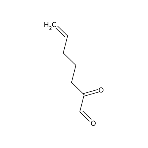 C=CCCCC(=O)C=O